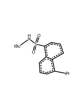 CC(C)c1cccc2c(S(=O)(=O)NC(C)(C)C)cccc12